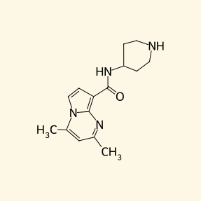 Cc1cc(C)n2ccc(C(=O)NC3CCNCC3)c2n1